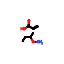 C=CC(=O)O.CCC(C)ON